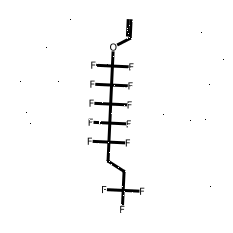 C=COC(F)(F)C(F)(F)C(F)(F)C(F)(F)C(F)(F)CCC(F)(F)F